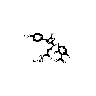 CC(=O)NNC(=O)CCC(Oc1ccc(F)c(C(N)=O)c1F)c1nc(-c2ccc(C(F)(F)F)cc2)c(Br)o1